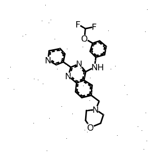 FC(F)Oc1cccc(Nc2nc(-c3cccnc3)nc3ccc(CN4CCOCC4)cc23)c1